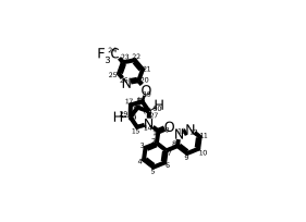 O=C(c1ccccc1-c1cccnn1)N1C[C@H]2C[C@@H](Oc3ccc(C(F)(F)F)cn3)[C@@H]1C2